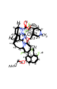 C#Cc1c(F)ccc2cc(OCOC)cc(C3=C(F)C=C(OC[C@]4(C)CN(C)CC[C@@H]4C(F)F)N4C5=NCN6C7=C5[C@@H](CCCC4=C3F)[C@H](CC7)N6C(=O)OC(C)(C)C)c12